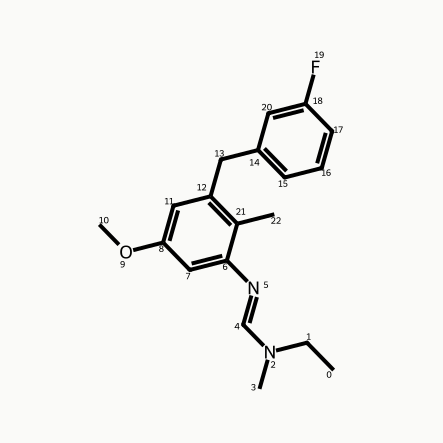 CCN(C)/C=N/c1cc(OC)cc(Cc2cccc(F)c2)c1C